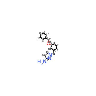 NC1=NN(Cc2cccc(OCc3ccccc3)c2)CC1